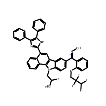 CCCCC(CC)Cn1c2ccc(/C(=N/O)c3ccccc3OCC(F)(F)C(F)F)cc2c2cc(-c3nc(-c4ccccc4)c(-c4ccccc4)[nH]3)c3ccccc3c21